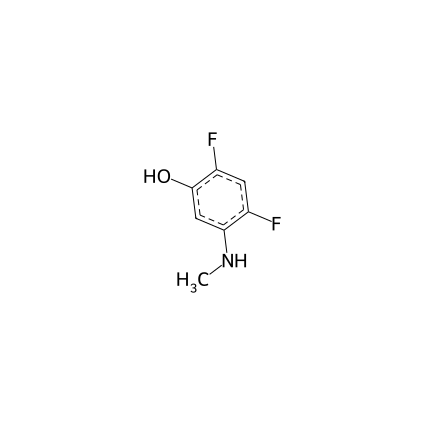 CNc1cc(O)c(F)cc1F